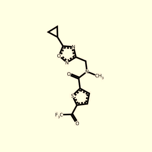 CN(Cc1noc(C2CC2)n1)C(=O)c1ccc(C(=O)C(F)(F)F)s1